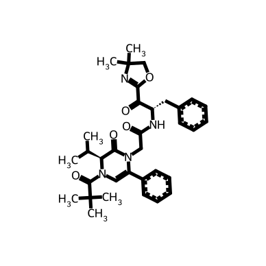 CC(C)[C@H]1C(=O)N(CC(=O)N[C@@H](Cc2ccccc2)C(=O)C2=NC(C)(C)CO2)C(c2ccccc2)=CN1C(=O)C(C)(C)C